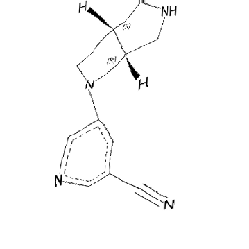 N#Cc1cncc(N2C[C@@H]3CNC[C@@H]32)c1